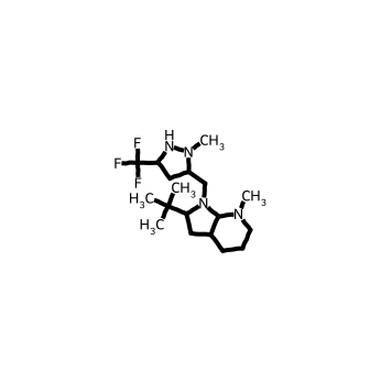 CN1CCCC2CC(C(C)(C)C)N(CC3CC(C(F)(F)F)NN3C)C21